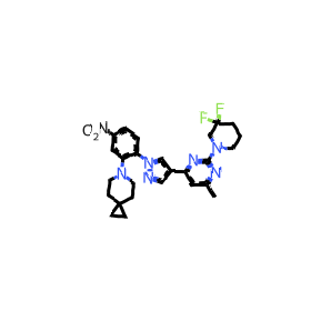 Cc1cc(-c2cnn(-c3ccc([N+](=O)[O-])cc3N3CCC4(CC3)CC4)c2)nc(N2CCCC(F)(F)C2)n1